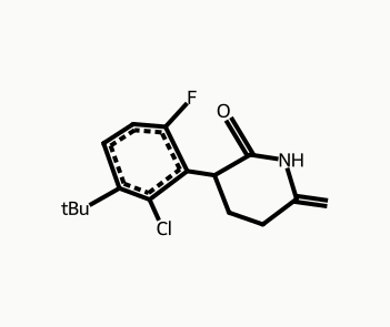 C=C1CCC(c2c(F)ccc(C(C)(C)C)c2Cl)C(=O)N1